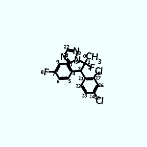 CC(F)(C(c1ccc(F)cc1)c1ccc(Cl)cc1Cl)n1cncn1